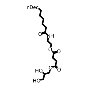 CCCCCCCCCCCCCCCC(=O)NCCOC(=O)CCC(=O)OCC(O)CO